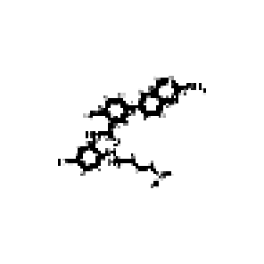 CN(C)CCCCNc1ccc(Cl)cc1NC(=O)c1cc(-c2ccc3nc(N)ncc3c2)ccc1F